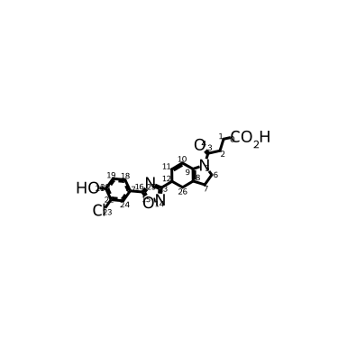 O=C(O)CCC(=O)N1CCC2=C1C=CC(c1noc(-c3ccc(O)c(Cl)c3)n1)C2